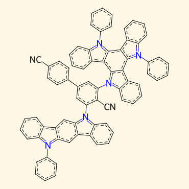 N#Cc1ccc(-c2cc(-n3c4ccccc4c4cc5c(cc43)c3ccccc3n5-c3ccccc3)c(C#N)c(-n3c4ccccc4c4c5c(c6ccccc6n5-c5ccccc5)c5c(c6ccccc6n5-c5ccccc5)c43)c2)cc1